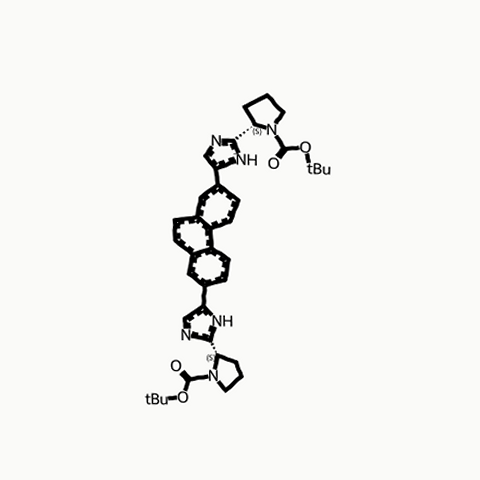 CC(C)(C)OC(=O)N1CCC[C@H]1c1ncc(-c2ccc3c(ccc4cc(-c5cnc([C@@H]6CCCN6C(=O)OC(C)(C)C)[nH]5)ccc43)c2)[nH]1